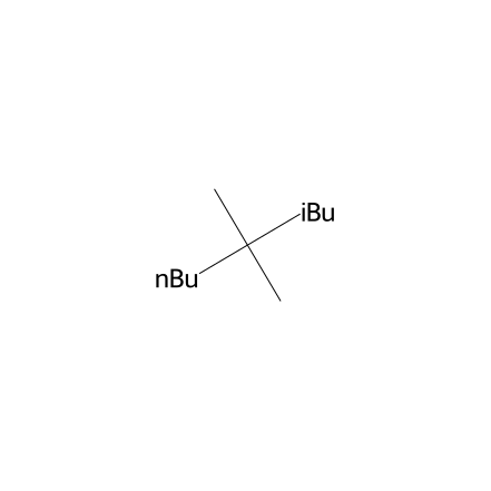 [CH2]CC(C)C(C)(C)CCCC